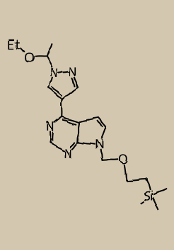 CCOC(C)n1cc(-c2ncnc3c2ccn3COCC[Si](C)(C)C)cn1